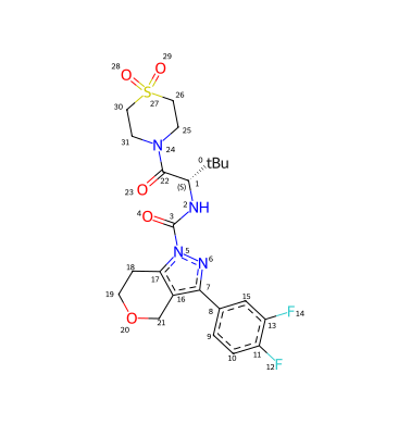 CC(C)(C)[C@H](NC(=O)n1nc(-c2ccc(F)c(F)c2)c2c1CCOC2)C(=O)N1CCS(=O)(=O)CC1